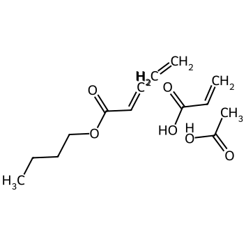 C=C.C=CC(=O)O.C=CC(=O)OCCCC.CC(=O)O